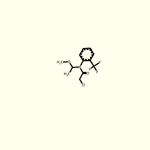 COC(C)N(C(=O)CCl)c1ccccc1C(F)(F)F